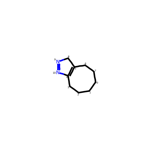 C1CCCC2=C(CC1)CN=N2